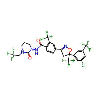 O=C(NN1CCCN(CC(F)(F)F)C1=O)c1ccc(C2=NOC(c3cc(Cl)cc(C(F)(F)F)c3)(C(F)(F)F)C2)cc1C(F)(F)F